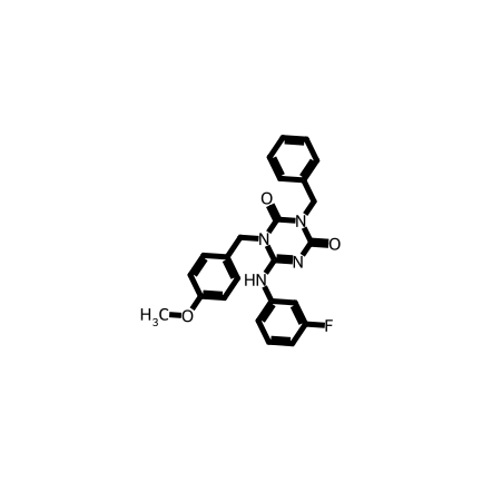 COc1ccc(Cn2c(Nc3cccc(F)c3)nc(=O)n(Cc3ccccc3)c2=O)cc1